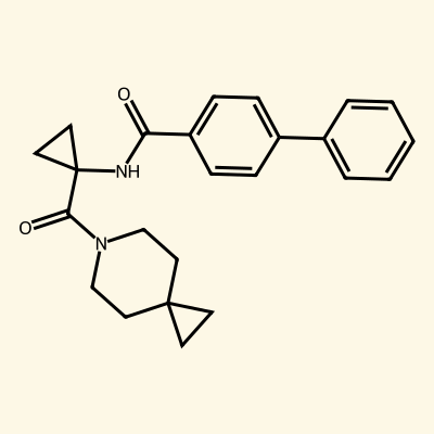 O=C(NC1(C(=O)N2CCC3(CC2)CC3)CC1)c1ccc(-c2ccccc2)cc1